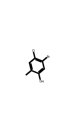 Cc1cc(Cl)c(Br)cc1O